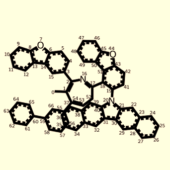 CC1=C(c2ccc3oc4ccccc4c3c2)N=C(c2c(-n3c4cc5ccccc5cc4c4cc5ccccc5cc43)ccc3oc4ccccc4c23)CC=C1c1cccc(-c2ccccc2)c1